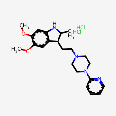 COc1cc2c(cc1OC)C(CCN1CCN(c3ccccn3)CC1)C(C)N2.Cl.Cl